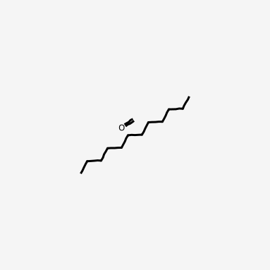 C=O.CCCCCCCCCCCC